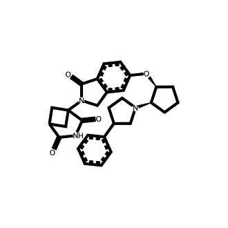 O=C1NC(=O)C2(N3Cc4cc(O[C@H]5CCC[C@H]5N5CCC(c6ccccc6)C5)ccc4C3=O)CC1C2